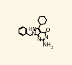 Nc1nc2n(Cc3ccccc3)[nH]c(C3CCCCC3)c-2c(=O)n1